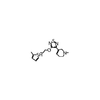 CC1=CC=C[SH]1CCCOc1nsnc1C1=CCCN(C)C1